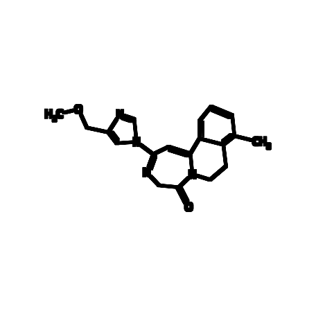 COCc1cn(C2=NCC(=O)N3CCc4c(C)cccc4C3=C2)cn1